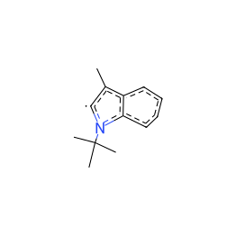 Cc1[c]n(C(C)(C)C)c2ccccc12